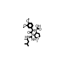 COc1ccc(CC(=O)N=C(N)N[C@H](C)CC(C)C)cc1OC.O=C(O)NC1CCSCC1